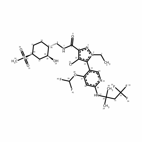 CCn1nc(C(=O)NC[C@H]2CC[C@H](S(C)(=O)=O)C[C@@H]2O)c(Cl)c1-c1cnc(NC(C)(C)CC(F)(F)F)cc1OC(F)F